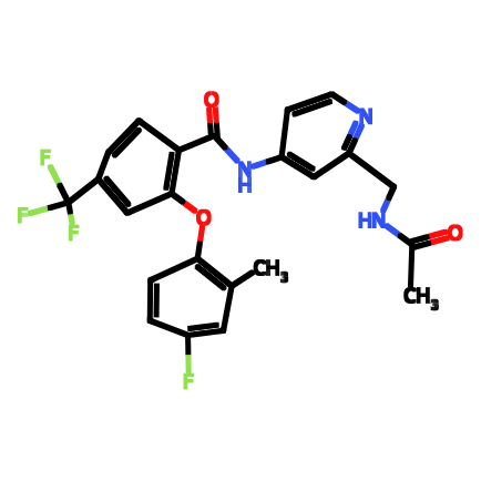 CC(=O)NCc1cc(NC(=O)c2ccc(C(F)(F)F)cc2Oc2ccc(F)cc2C)ccn1